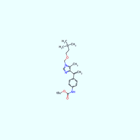 C=C(c1ccc(NC(=O)OC(C)(C)C)cc1)c1ncn(COCC[Si](C)(C)C)c1C